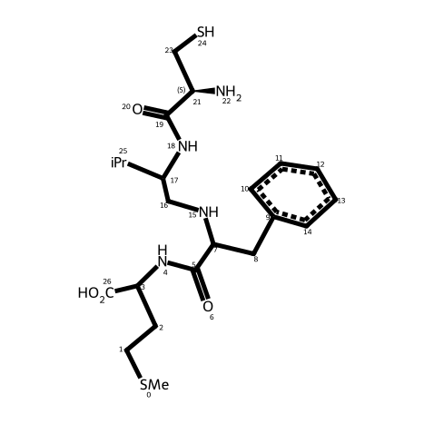 CSCCC(NC(=O)C(Cc1ccccc1)NCC(NC(=O)[C@H](N)CS)C(C)C)C(=O)O